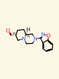 O=C[C@@H]1CC[C@H]2CN(c3noc4ccccc34)CCN2C1